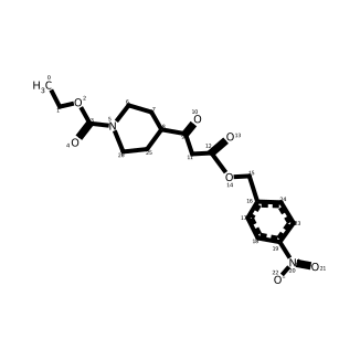 CCOC(=O)N1CCC(C(=O)CC(=O)OCc2ccc([N+](=O)[O-])cc2)CC1